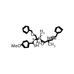 CN[C@](C)(COCc1ccccc1)C1OC1N(C)[C@@](COCc1ccccc1)(SC(S)c1ccc(OC)cc1)C(C)=O